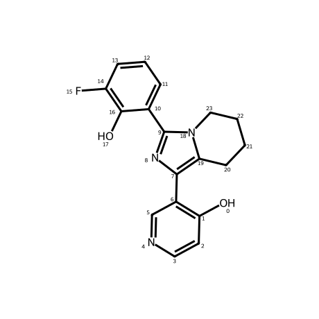 Oc1ccncc1-c1nc(-c2cccc(F)c2O)n2c1CCCC2